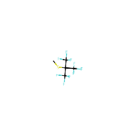 CSC(C(F)(F)F)(C(F)(F)F)C(F)(F)F